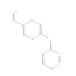 CCc1ccc(Oc2cccnn2)cc1